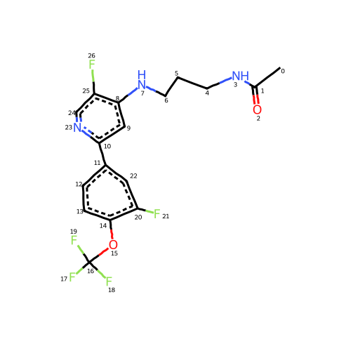 CC(=O)NCCCNc1cc(-c2ccc(OC(F)(F)F)c(F)c2)ncc1F